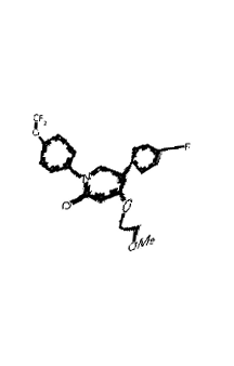 COCCOc1cc(=O)n(-c2ccc(OC(F)(F)F)cc2)cc1-c1ccc(F)cc1